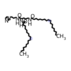 CCCCCCCC/C=C\CCCCCCCC(=O)NCCCC(NC(=O)CCCCCCC/C=C\CCCCCCCC)C(=O)NCCCn1ccnc1